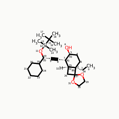 CC[C@@]12CC[C@H](O)[C@@H](C#C[C@@H](O[Si](C)(C)C(C)(C)C)C3CCCCC3)[C@@H]1CC21OCCO1